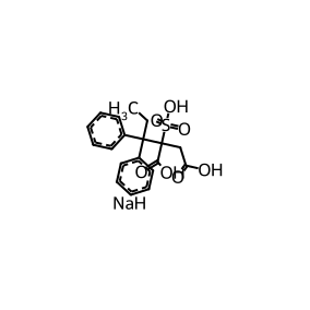 CCC(c1ccccc1)(c1ccccc1)C(CC(=O)O)(C(=O)O)S(=O)(=O)O.[NaH]